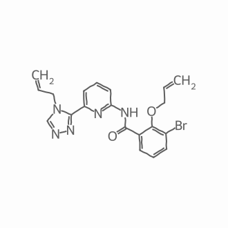 C=CCOc1c(Br)cccc1C(=O)Nc1cccc(-c2nncn2CC=C)n1